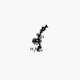 N=C(N)c1csc(CNC(=O)C2CC3(CN2C(=O)CNC(=O)CCCOc2ccc(C4CC4)cc2)OCCO3)c1